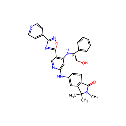 CN1C(=O)c2ccc(Nc3cc(N[C@H](CO)c4ccccc4)c(-c4nc(-c5ccncc5)no4)cn3)cc2C1(C)C